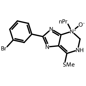 CCC[N+]1([O-])CNC(SC)=C2N=C(c3cccc(Br)c3)N=C21